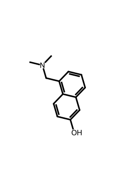 CN(C)Cc1cccc2cc(O)ccc12